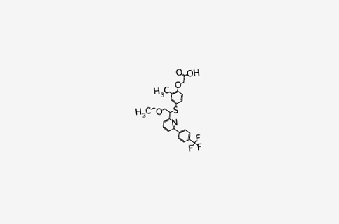 CCOCC(Sc1ccc(OCC(=O)O)c(C)c1)c1cccc(-c2ccc(C(F)(F)F)cc2)n1